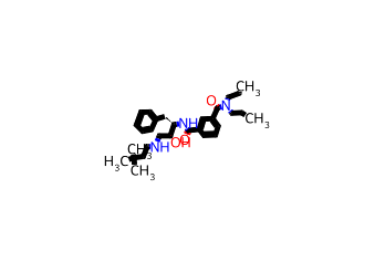 CCCN(CCC)C(=O)c1cccc(C(=O)N[C@@H](Cc2ccccc2)[C@H](O)CNCCC(C)(C)C)c1